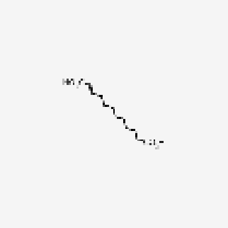 O=C(O)/C=C/CCCCCCCCC(=O)O